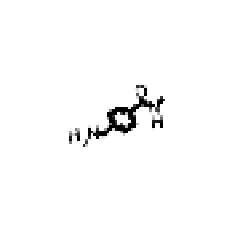 CNC(=O)c1ccc(CN)cc1